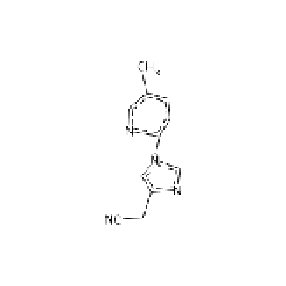 Cc1ccc(-n2cnc(CC#N)c2)nc1